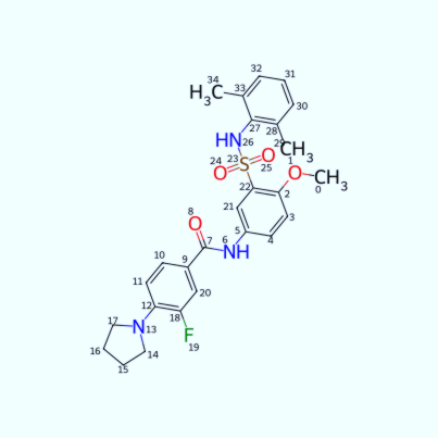 COc1ccc(NC(=O)c2ccc(N3CCCC3)c(F)c2)cc1S(=O)(=O)Nc1c(C)cccc1C